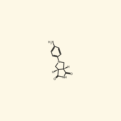 Nc1ccc(N2C[C@@H]3C(=O)NC(=O)[C@@H]3C2)cc1